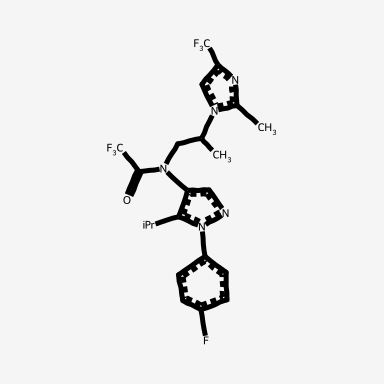 Cc1nc(C(F)(F)F)cn1C(C)CN(C(=O)C(F)(F)F)c1cnn(-c2ccc(F)cc2)c1C(C)C